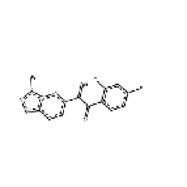 CC(C)c1nnc2ccc(C(=N)C(=O)c3ccc(F)cc3F)nn12